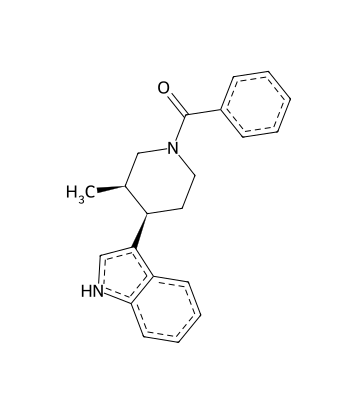 C[C@H]1CN(C(=O)c2ccccc2)CC[C@H]1c1c[nH]c2ccccc12